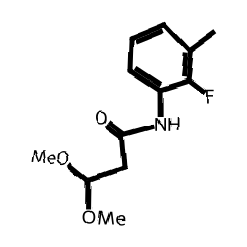 COC(CC(=O)Nc1cccc(C)c1F)OC